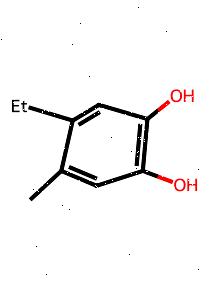 CCc1cc(O)c(O)cc1C